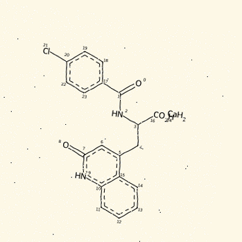 O=C(NC(Cc1cc(=O)[nH]c2ccccc12)C(=O)O)c1ccc(Cl)cc1.[CaH2]